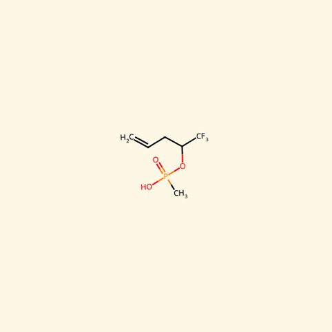 C=CCC(OP(C)(=O)O)C(F)(F)F